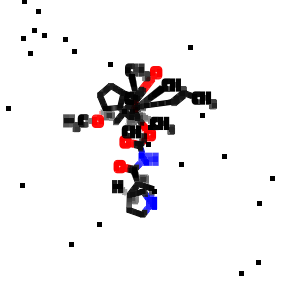 CC=C[C@]1(C)C[C@@H](OC(=O)NC(=O)[C@H]2CN3CC[C@@H]2C3)[C@@]2(C)C3[C@H](OC)CCC3(CC[C@H]2C)[C@@H](C)C1=O